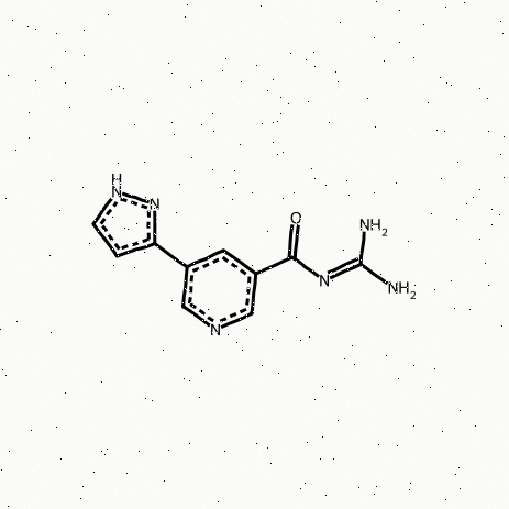 NC(N)=NC(=O)c1cncc(-c2cc[nH]n2)c1